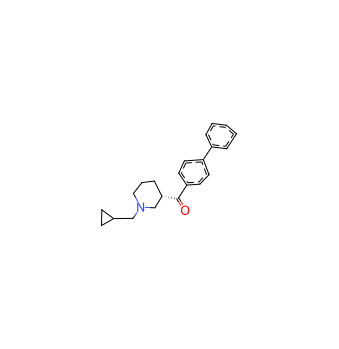 O=C(c1ccc(-c2ccccc2)cc1)[C@H]1CCCN(CC2CC2)C1